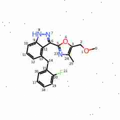 COCc1oc(-c2n[nH]c3cccc(Cc4ccccc4F)c23)nc1C